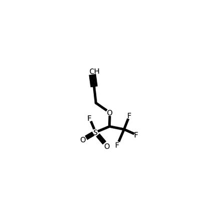 C#CCOC(C(F)(F)F)S(=O)(=O)F